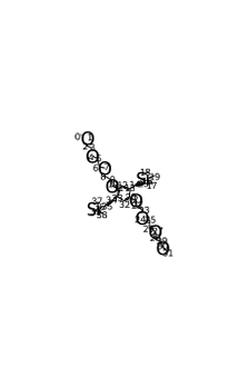 COCCOCCOCCOc1cc(C#C[Si](C)(C)C)c(OCCOCCOCCOC)cc1C#C[Si](C)(C)C